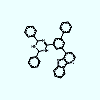 c1ccc(-c2cc(C3=NC(c4ccccc4)NC(c4ccccc4)N3)cc(-c3ccnc4c3sc3ccccc34)c2)cc1